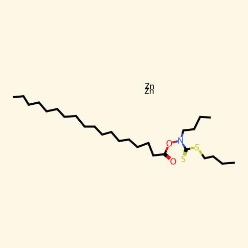 CCCCCCCCCCCCCCCCCC(=O)ON(CCCC)C(=S)SCCCC.[Zn].[Zn]